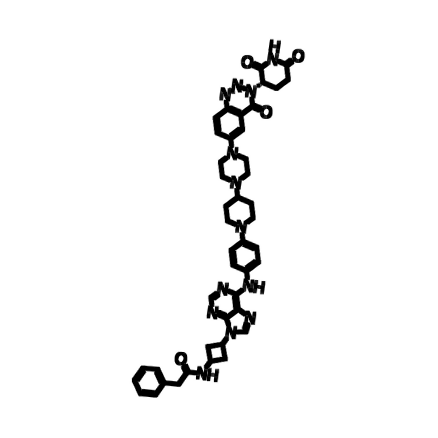 O=C1CC[C@H](n2nnc3ccc(N4CCN(C5CCN(c6ccc(Nc7ncnc8c7ncn8C7CC(NC(=O)Cc8ccccc8)C7)cc6)CC5)CC4)cc3c2=O)C(=O)N1